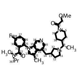 COCC(=O)N1CCC([C@H](C)N2CCC(Cc3cncc4c3c(C)cn4-c3ccc(F)cc3C(=O)N(C)C(C)C)C2)CC1